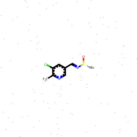 CC(C)(C)[S@@+]([O-])N=Cc1cnc(C(F)(F)F)c(Cl)c1